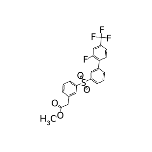 COC(=O)Cc1cccc(S(=O)(=O)c2cccc(-c3ccc(C(F)(F)F)cc3F)c2)c1